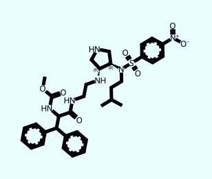 COC(=O)NC(C(=O)NCCN[C@@H]1CNC[C@H]1N(CCC(C)C)S(=O)(=O)c1ccc([N+](=O)[O-])cc1)C(c1ccccc1)c1ccccc1